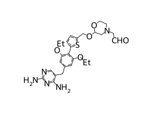 CCOc1cc(Cc2cnc(N)nc2N)cc(OCC)c1-c1ccc(COC2CN(CC=O)CCO2)s1